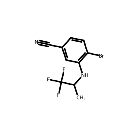 CC(Nc1cc(C#N)ccc1Br)C(F)(F)F